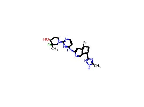 Cc1nc(-c2ccc(C(C)C)c3cc(Nc4ccnc(N5CC[C@@H](O)[C@@](C)(F)C5)n4)ncc23)n[nH]1